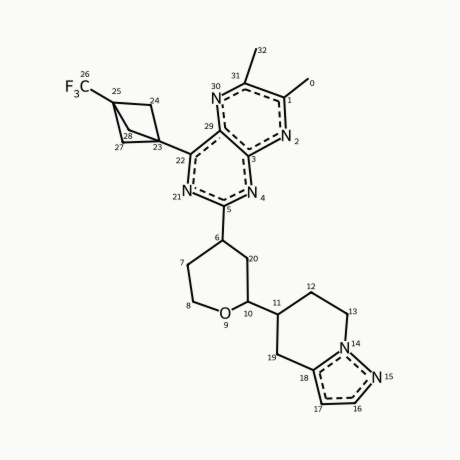 Cc1nc2nc(C3CCOC(C4CCn5nccc5C4)C3)nc(C34CC(C(F)(F)F)(C3)C4)c2nc1C